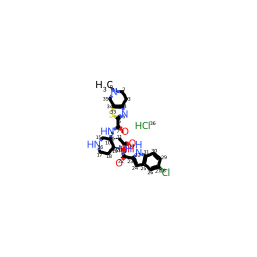 CN1CCc2nc(C(=O)N[C@]3(CC(=O)O)CNCC[C@@H]3NC(=O)c3cc4cc(Cl)ccc4[nH]3)sc2C1.Cl